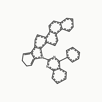 C1=c2c(n(-c3nc(-c4ccccc4)c4ccccc4n3)c3c2ccc2c4ccc5ccccc5c4ccc23)=CCC1